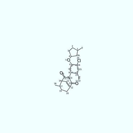 CC1CCC(Oc2cc(N3C(=O)C4=CC(C3=O)C(C)CC4)c(F)cc2Cl)C1